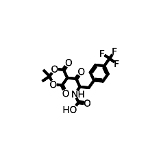 CC1(C)OC(=O)C(C(=O)C(Cc2ccc(C(F)(F)F)cc2)NC(=O)O)C(=O)O1